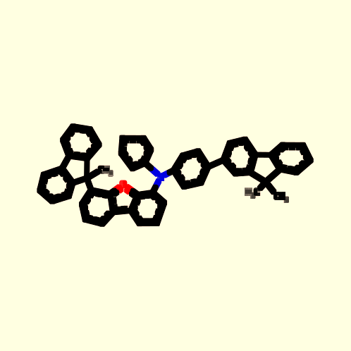 CC1(C)c2ccccc2-c2ccc(-c3ccc(N(c4ccccc4)c4cccc5c4oc4c(C6(C)c7ccccc7-c7ccccc76)cccc45)cc3)cc21